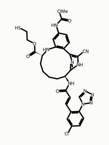 COC(=O)Nc1ccc2c(c1)N[C@@H](C(=O)OCCS)CCCC[C@H](NC(=O)/C=C/c1cc(Cl)ccc1-n1cnnn1)c1nc-2c(C#N)[nH]1